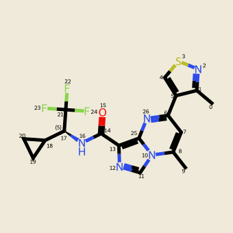 Cc1nscc1-c1cc(C)n2cnc(C(=O)N[C@@H](C3CC3)C(F)(F)F)c2n1